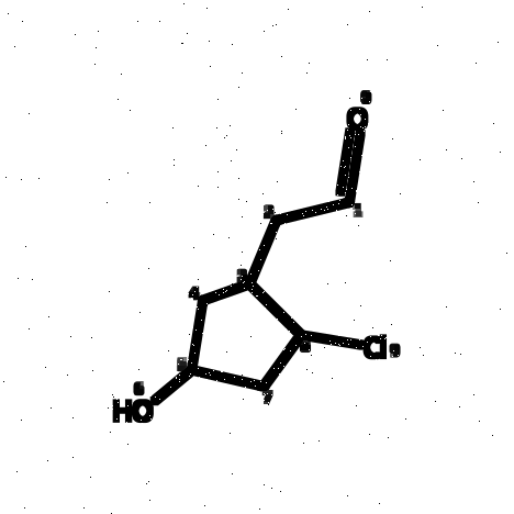 O=CCC1CC(O)CC1Cl